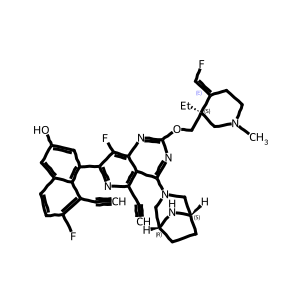 C#Cc1c(F)ccc2cc(O)cc(-c3nc(C#C)c4c(N5C[C@H]6CC[C@@H](C5)N6)nc(OC[C@]5(CC)CN(C)CC/C5=C\F)nc4c3F)c12